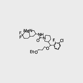 CCOCCCOC(c1cccc(Cl)c1F)C1CCCN(C(=O)NC(CNC)CC2CCC(F)(F)CC2)C1